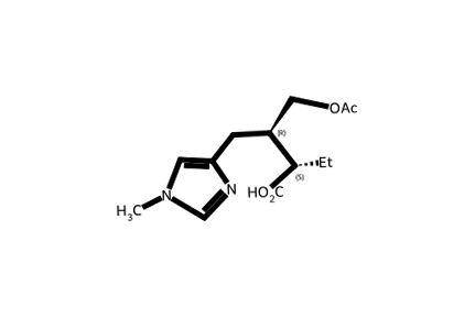 CC[C@H](C(=O)O)[C@H](COC(C)=O)Cc1cn(C)cn1